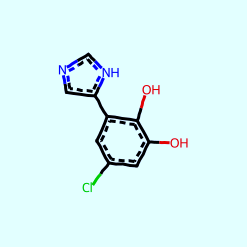 Oc1cc(Cl)cc(-c2cnc[nH]2)c1O